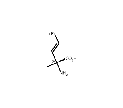 CCCC=C[C@@](C)(N)C(=O)O